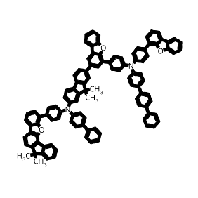 CC1(C)c2cc(-c3cc(-c4ccc(N(c5ccc(-c6ccc(-c7ccccc7)cc6)cc5)c5ccc(-c6cccc7c6oc6ccccc67)cc5)cc4)c4oc5ccccc5c4c3)ccc2-c2ccc(N(c3ccc(-c4ccccc4)cc3)c3ccc(-c4cccc5c4oc4c6c(ccc45)C(C)(C)c4ccccc4-6)cc3)cc21